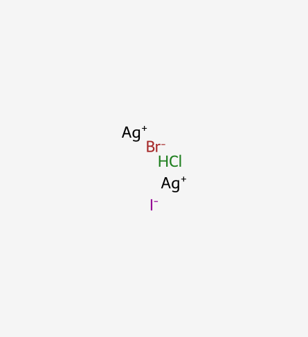 Cl.[Ag+].[Ag+].[Br-].[I-]